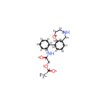 O=C(COC(=O)C(F)(F)F)Nc1ccccc1-c1cccc2c1OCCNC2